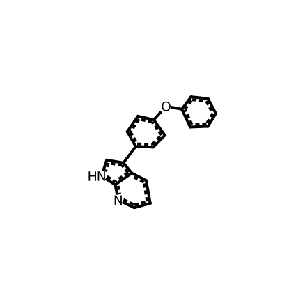 c1ccc(Oc2ccc(-c3c[nH]c4ncccc34)cc2)cc1